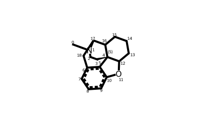 CN1CC[C@]23c4c5cccc4OC2CCCC3C1C5